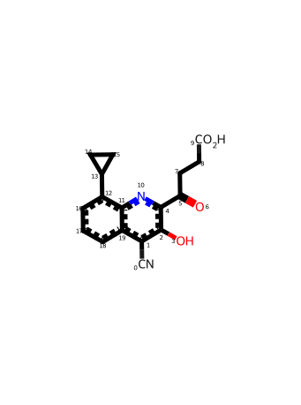 N#Cc1c(O)c(C(=O)CCC(=O)O)nc2c(C3CC3)cccc12